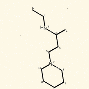 CCNC(C)CCN1CCCCC1